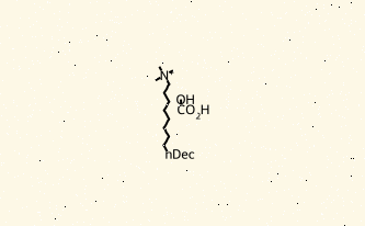 CCCCCCCCCCCCCCCCCC[N+](C)(C)C.O=C(O)O